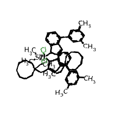 CCC1(CC2=Cc3c(-c4cc(C)cc(C)c4)cccc3[CH]2[Zr]([Cl])([Cl])([CH]2C(CC3(CC)CCCCCCC3)=Cc3c(-c4cc(C)cc(C)c4)cccc32)[SiH](C)C)CCCCCCC1